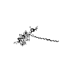 CCCCCCCCCCCCCCCCCCOC[C@H](COP(=O)(O)OC1[C@H]2O[C@@](C#N)(c3ccc4c(N)ncnn34)[C@H](O)[C@@]12O)OCc1cc(F)cc(F)c1